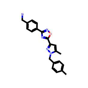 Cc1ccc(Cn2nc(-c3nc(-c4ccc(C[N])cc4)no3)cc2C)cc1